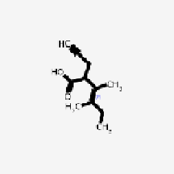 C#CCC(C(=O)O)/C(C)=C(\C)CC